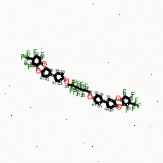 Fc1c(F)c(C(F)(F)F)c(F)c2c1Oc1cc(-c3ccc(OCC(F)(F)C(F)(F)C(F)(F)C(F)(F)COc4ccc(-c5ccc6c(c5)Oc5c(F)c(F)c(C(F)(F)F)c(F)c5O6)cc4)cc3)ccc1O2